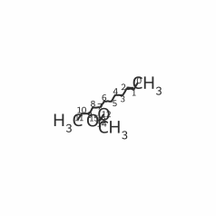 CC=CCCCCC(CCCC)OC(C)=O